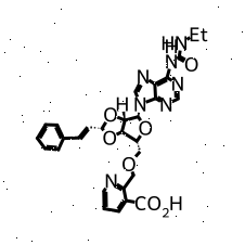 CCNC(=O)Nc1ncnc2c1ncn2[C@@H]1O[C@H](COCc2ncccc2C(=O)O)C2O[C@H](/C=C/c3ccccc3)O[C@@H]21